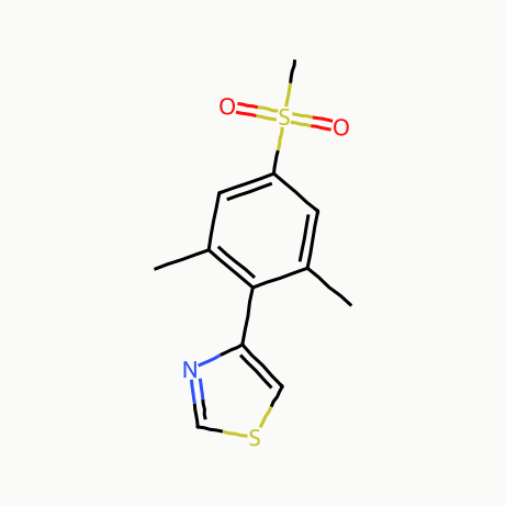 Cc1cc(S(C)(=O)=O)cc(C)c1-c1cscn1